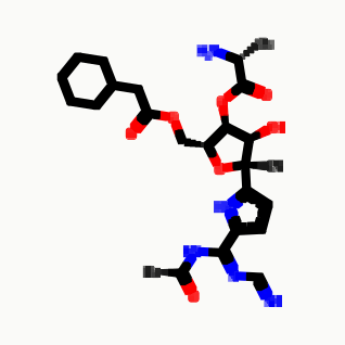 CC[C@H](C)C(=O)N/C(=N/C=N)c1ccc([C@]2(C#N)O[C@H](COC(=O)CC3CCCCC3)[C@@H](OC(=O)[C@H](N)C(C)(C)C)[C@H]2O)[nH]1